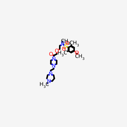 COc1cc(C)c(S(=O)(=O)N(C)CCOCC(=O)N2CCN(CCN3CCCN(C)CC3)CC2)c(C)c1